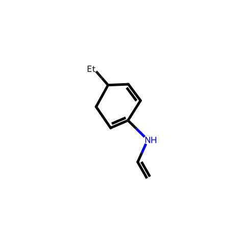 C=CNC1=CCC(CC)C=C1